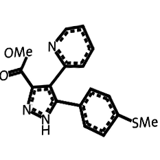 COC(=O)c1n[nH]c(-c2ccc(SC)cc2)c1-c1ccccn1